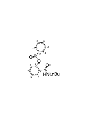 CCCCNC(=O)c1ccccc1OC(=O)c1ccccc1